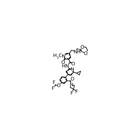 Cn1cc(CNC[C@@H]2COCCO2)cc(C(=O)Nc2cc(-c3ccc(OC(F)F)cc3C(=O)N3CC(F)(F)C3)cc(C3CC3)n2)c1=O